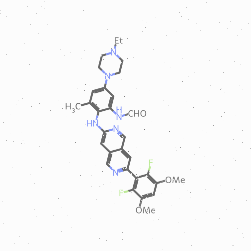 CCN1CCN(c2cc(C)c(Nc3cc4cnc(-c5c(F)c(OC)cc(OC)c5F)cc4cn3)c(NC=O)c2)CC1